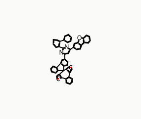 c1ccc(-c2ccccc2-c2nc(-c3ccc4c(c3)-c3ccccc3C43c4ccccc4-c4ccccc4-c4ccccc43)cc(-c3ccc4c(c3)oc3ccccc34)n2)cc1